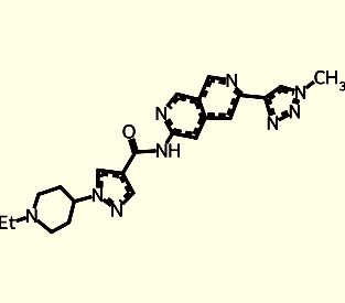 CCN1CCC(n2cc(C(=O)Nc3cc4cc(-c5cn(C)nn5)ncc4cn3)cn2)CC1